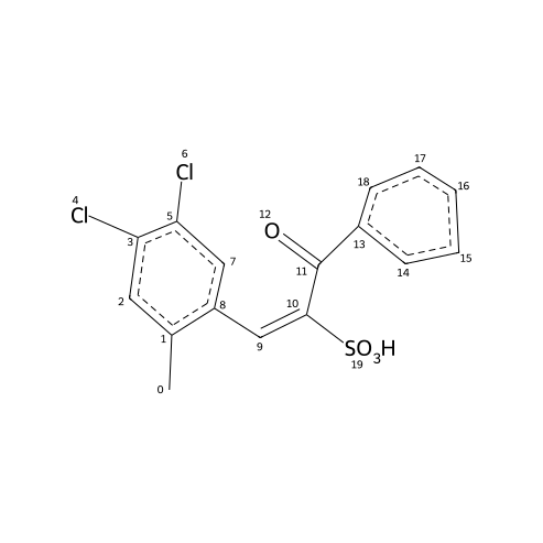 Cc1cc(Cl)c(Cl)cc1C=C(C(=O)c1ccccc1)S(=O)(=O)O